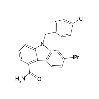 CC(C)c1c[c]c2c3c(C(N)=O)cccc3n(Cc3ccc(Cl)cc3)c2c1